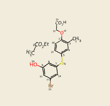 CCOC(C)=O.Cc1cc(Sc2cc(O)cc(Br)c2)ccc1OCC(=O)O